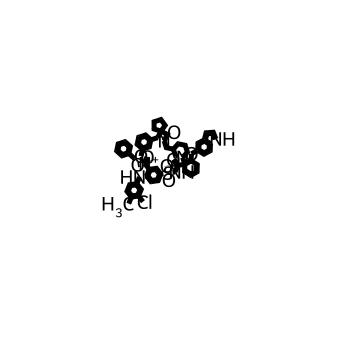 Cc1ccc(Nc2ccc(S(=O)(=O)NC(=O)C3(N4CCCC(CN5C(=O)C6(CCCC6)C5c5cccc(OCc6ccccc6)c5)C4)C=CC=CC3Oc3ccc4[nH]ccc4c3)cc2[N+](=O)[O-])cc1Cl